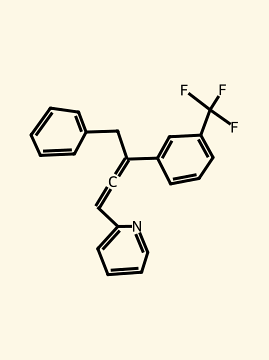 FC(F)(F)c1cccc(C(=C=Cc2ccccn2)Cc2ccccc2)c1